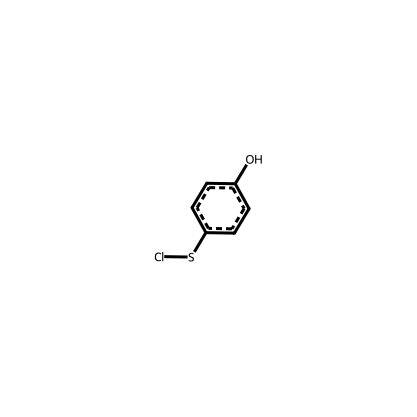 Oc1ccc(SCl)cc1